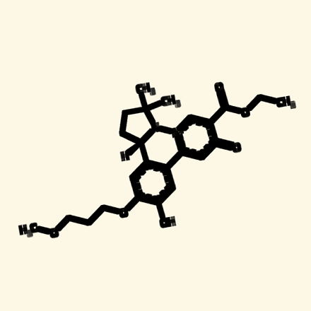 CCOC(=O)c1cn2c(cc1=O)-c1cc(O)c(OCCCOC)cc1[C@@H]1CCC(C)(C)N12